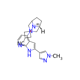 Cn1cc(-c2cc3c(N4CC5CC[C@H](C4)N5C4CC(C#N)C4)ccnc3[nH]2)cn1